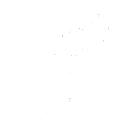 CCCCC1=CCC(C#Cc2ccc(-c3cc(F)c(C(F)(F)Oc4cc(F)c(F)c(F)c4)c(F)c3)c(F)c2)C(F)=C1